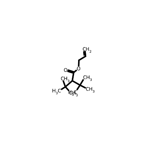 C=CCOC(=O)C(C(C)(C)C)C(C)(C)C